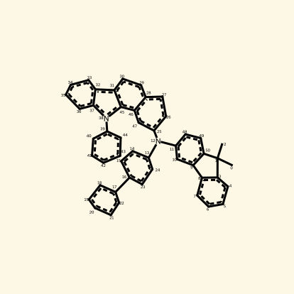 CC1(C)c2ccccc2-c2cc(N(c3ccc(-c4ccccc4)cc3)c3ccc4ccc5c6ccccc6n(-c6ccccc6)c5c4c3)ccc21